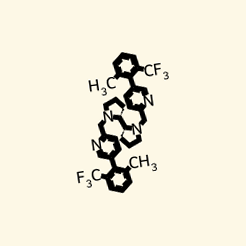 Cc1cccc(C(F)(F)F)c1-c1ccc(CN2CCC[C@@H]2[C@H]2CCCN2Cc2ccc(-c3c(C)cccc3C(F)(F)F)cn2)nc1